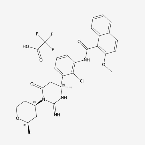 COc1ccc2ccccc2c1C(=O)Nc1cccc([C@]2(C)CC(=O)N([C@@H]3CCO[C@H](C)C3)C(=N)N2)c1Cl.O=C(O)C(F)(F)F